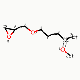 CCO[SiH](CC)CCCOCC1CO1